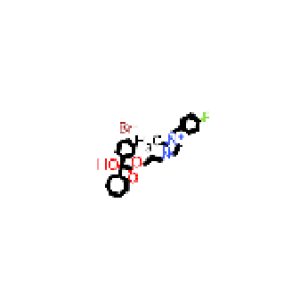 Cc1n(CCCOC(=O)C(O)(c2ccccc2)C2CCCCCC2)cc[n+]1Cc1ccc(F)cc1.[Br-]